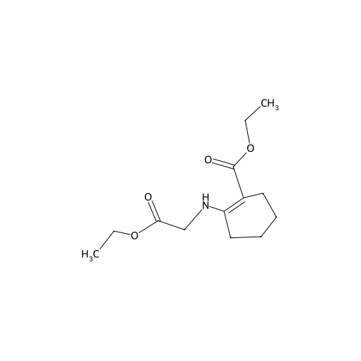 CCOC(=O)CNC1=C(C(=O)OCC)CCCC1